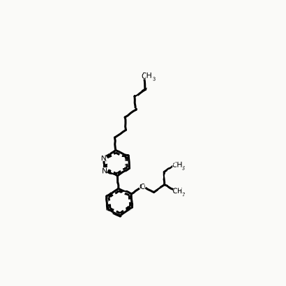 CCCCCCCc1ccc(-c2ccccc2OCC(C)CC)nn1